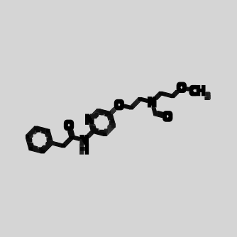 COCCN(C=O)CCOc1ccc(NC(=O)Cc2ccccc2)nc1